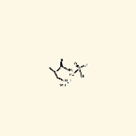 CN(CC(=O)O)C(=N)N.O=P(O)(O)O.[NaH]